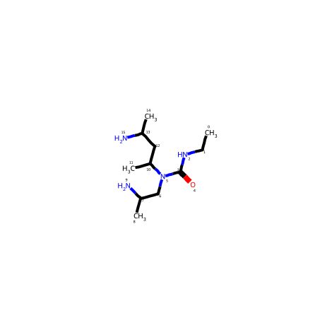 CCNC(=O)N(CC(C)N)C(C)CC(C)N